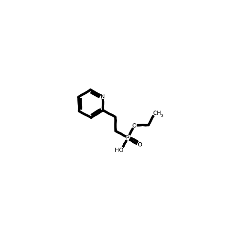 CCOP(=O)(O)CCc1ccccn1